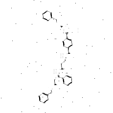 N=C(NC(=O)OCc1ccccc1)c1ccc(C(=O)NCCC(=O)N[C@@H](CC(=O)OCc2ccccc2)c2ccccc2)cc1